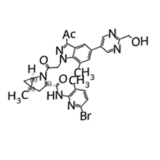 CC(=O)c1nn(CC(=O)N2[C@H](C(=O)Nc3nc(Br)ccc3C)C[C@@]3(C)C[C@@H]23)c2c(C)cc(-c3cnc(CO)nc3)cc12